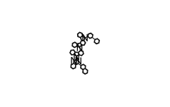 c1ccc(-c2cccc(-n3c4ccccc4c4c5c6ccccc6n(-c6cccc7c6c6ccccc6n7-c6nc(-c7ccc8ccccc8c7)c7ccccc7n6)c5ccc43)c2)cc1